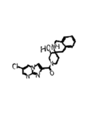 O=C(c1cn2cc(Cl)cnc2n1)N1CCC2(Cc3ccccc3CN2)C(O)C1